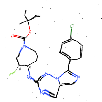 CC(C)(C)OC(=O)N1CC[C@@H](Nc2ncc3cnc(-c4ccc(Cl)cc4)n3n2)[C@H](F)C1